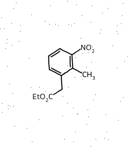 CCOC(=O)Cc1cccc([N+](=O)[O-])c1C